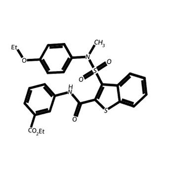 CCOC(=O)c1cccc(NC(=O)c2sc3ccccc3c2S(=O)(=O)N(C)c2ccc(OCC)cc2)c1